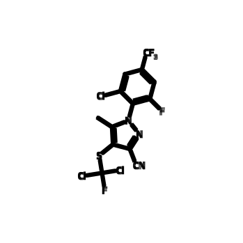 Cc1c(SC(F)(Cl)Cl)c(C#N)nn1-c1c(F)cc(C(F)(F)F)cc1Cl